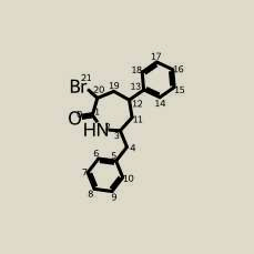 O=C1NC(Cc2ccccc2)CC(c2ccccc2)CC1Br